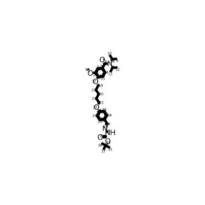 COc1cc(C(=O)N(C(C)C)C(C)C)ccc1OCCCCCOc1ccc(C=NNC(=O)OC(C)(C)C)cc1